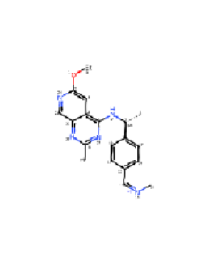 CCOc1cc2c(N[C@H](C)c3ccc(/C=N\C)cc3)nc(C)nc2cn1